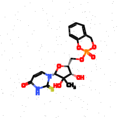 CC1(O)[C@@H](O)[C@@H](COP2(=O)OCc3ccccc3O2)O[C@H]1n1ccc(=O)[nH]c1=S